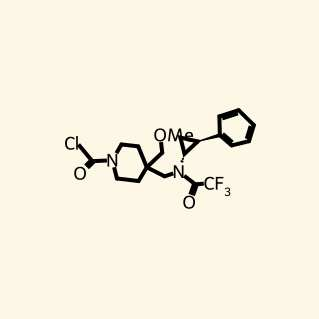 COCC1(CN(C(=O)C(F)(F)F)[C@@H]2C[C@H]2c2ccccc2)CCN(C(=O)Cl)CC1